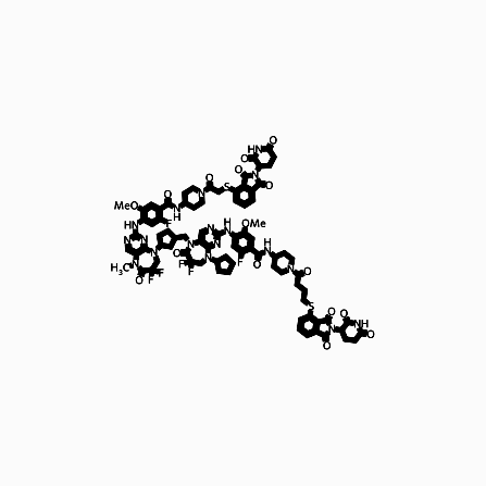 COc1cc(C(=O)NC2CCN(C(=O)CSc3cccc4c3C(=O)N(C3CCC(=O)NC3=O)C4=O)CC2)c(F)cc1Nc1ncc2c(n1)N(C1CCC(CN3C(=O)C(F)(F)CN(C4CCCC4)c4nc(Nc5cc(F)c(C(=O)NC6CCN(C(=O)CCCSc7cccc8c7C(=O)N(C7CCC(=O)NC7=O)C8=O)CC6)cc5OC)ncc43)C1)CC(F)(F)C(=O)N2C